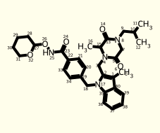 Cc1c(CN2C(=O)CN(CC(C)C)C(=O)C2C)n(Cc2ccc(C(=O)NOC3CCCCO3)cc2)c2ccccc12